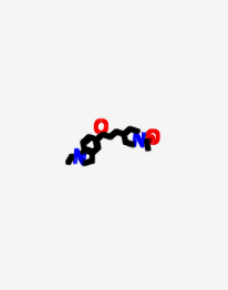 CCN1CCc2cc(C(=O)CCC3CCN(C(C)=O)CC3)ccc21